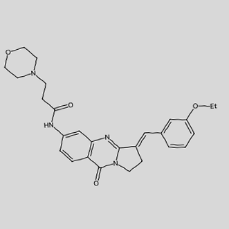 CCOc1cccc(C=C2CCn3c2nc2cc(NC(=O)CCN4CCOCC4)ccc2c3=O)c1